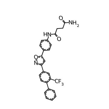 NC(=O)CCC(=O)Nc1ccc(-c2cc(-c3ccc(-c4ccccc4)c(C(F)(F)F)c3)no2)cc1